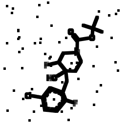 CC(C)(C)OC(=O)N1CCC(O)(Cc2cc(Cl)ccc2F)C(F)C1